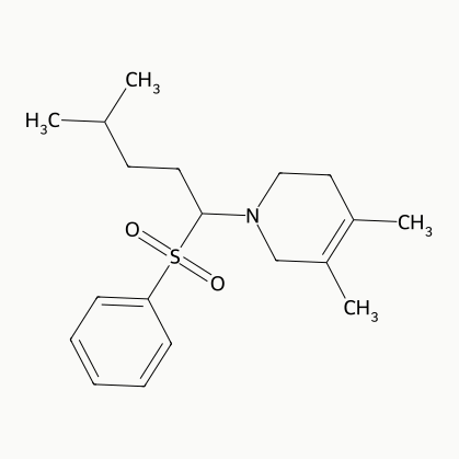 CC1=C(C)CN(C(CCC(C)C)S(=O)(=O)c2ccccc2)CC1